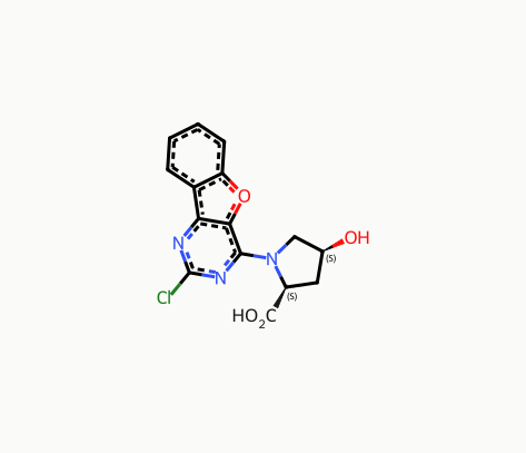 O=C(O)[C@@H]1C[C@H](O)CN1c1nc(Cl)nc2c1oc1ccccc12